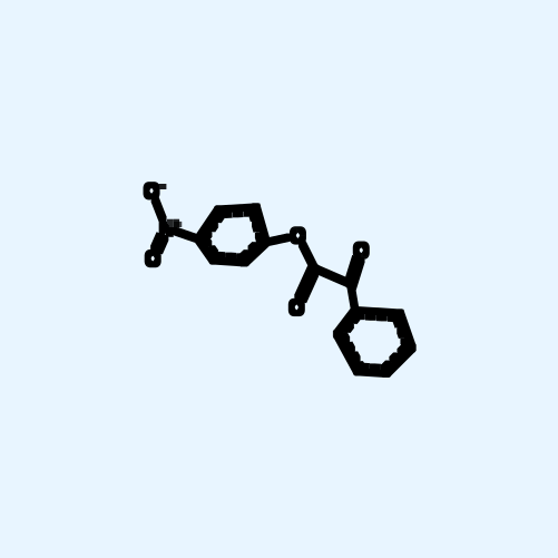 O=C(Oc1ccc([N+](=O)[O-])cc1)C(=O)c1ccccc1